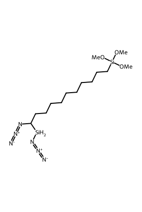 CO[Si](CCCCCCCCCCC(N=[N+]=[N-])[SiH2]N=[N+]=[N-])(OC)OC